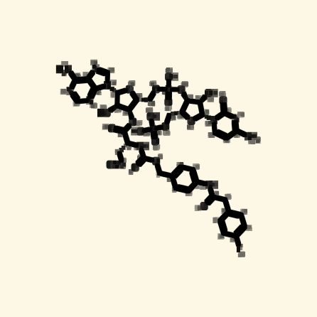 COC[C@@H](NC(=O)OCc1ccc(NC(=O)Cc2ccc(F)cc2)cc1)C(=O)O[C@H]1[C@@H](O)[C@H](n2cnc3c(N)ncnc32)O[C@@H]1COP(=O)(O)O[C@H]1[C@@H](O)[C@H](n2ccc(N)nc2=O)O[C@@H]1COP(=O)(O)O